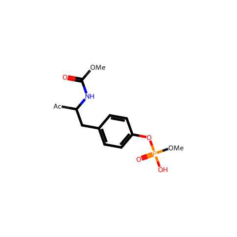 COC(=O)NC(Cc1ccc(OP(=O)(O)OC)cc1)C(C)=O